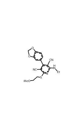 CCNc1nc(SCCOC)c(C#N)c(-c2ccc3c(c2)OCO3)c1C#N